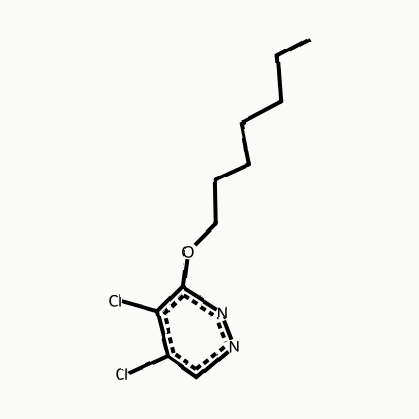 CCCCCCCOc1nncc(Cl)c1Cl